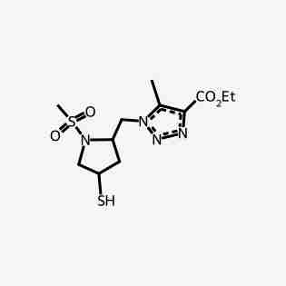 CCOC(=O)c1nnn(CC2CC(S)CN2S(C)(=O)=O)c1C